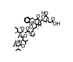 CC[C@H](C)[C@@H]([C@@H](CC(=O)N1CCC[C@H]1[C@H](OC)[C@@H](C)C(=O)N[C@@H](Cc1ccccc1)C(=O)NCCN(CC(=O)O)CC(=O)O)OC)N(C)C(=O)[C@@H](NC(=O)[C@H](C(C)C)N(C)C)C(C)C